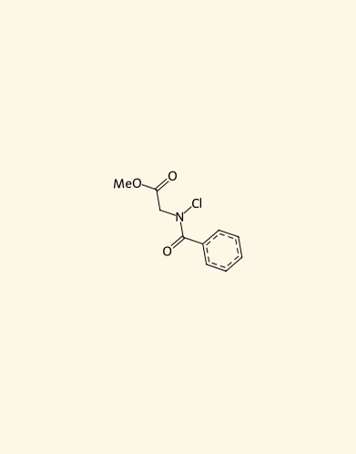 COC(=O)CN(Cl)C(=O)c1ccccc1